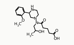 COc1ccccc1C1CN(N(CC(C)O)C(=O)CCCC(=O)O)CCN1